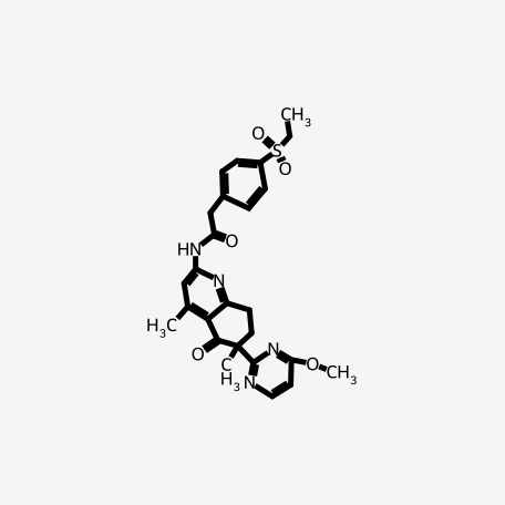 CCS(=O)(=O)c1ccc(CC(=O)Nc2cc(C)c3c(n2)CCC(C)(c2nccc(OC)n2)C3=O)cc1